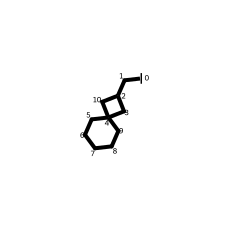 ICC1CC2(CCCCC2)C1